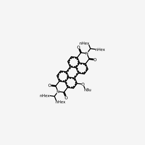 CCCCCCC(CCCCCC)N1C(=O)c2ccc3c4ccc5c6c(cc(OCCCC)c(c7ccc(c2c37)C1=O)c64)C(=O)N(C(CCCCCC)CCCCCC)C5=O